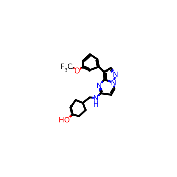 OC1CCC(CNc2ccn3ncc(-c4cccc(OC(F)(F)F)c4)c3n2)CC1